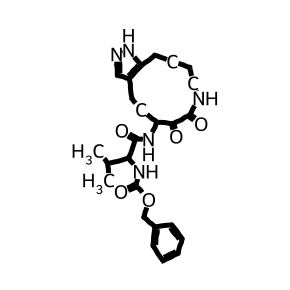 CC(C)C(NC(=O)OCc1ccccc1)C(=O)NC1CCc2cn[nH]c2CCCCNC(=O)C1=O